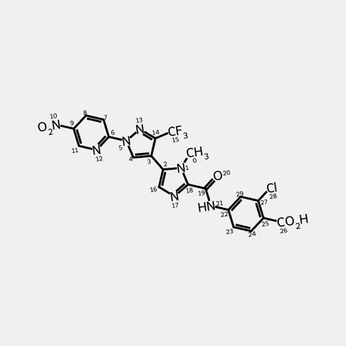 Cn1c(-c2cn(-c3ccc([N+](=O)[O-])cn3)nc2C(F)(F)F)cnc1C(=O)Nc1ccc(C(=O)O)c(Cl)c1